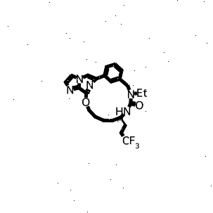 CCN1Cc2cccc(c2)-c2cn3ccnc3c(n2)OCCCC[C@H](CCC(F)(F)F)NC1=O